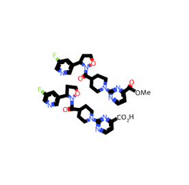 COC(=O)c1ccnc(N2CCC(C(=O)N3OCCC3c3cncc(F)c3)CC2)n1.O=C(O)c1ccnc(N2CCC(C(=O)N3OCCC3c3cncc(F)c3)CC2)n1